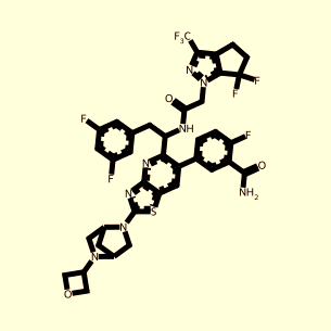 NC(=O)c1cc(-c2cc3sc(N4CC5CC4CN5C4COC4)nc3nc2C(Cc2cc(F)cc(F)c2)NC(=O)Cn2nc(C(F)(F)F)c3c2C(F)(F)CC3)ccc1F